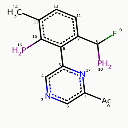 CC(=O)c1cncc(-c2c(C(F)P)ccc(C)c2P)n1